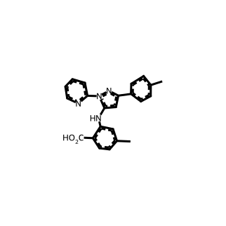 Cc1ccc(-c2cc(Nc3cc(C)ccc3C(=O)O)n(-c3ccccn3)n2)cc1